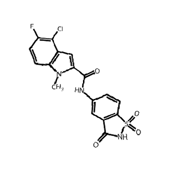 Cn1c(C(=O)Nc2ccc3c(c2)C(=O)NS3(=O)=O)cc2c(Cl)c(F)ccc21